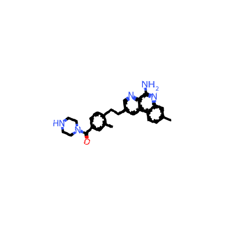 Cc1ccc2c(c1)nc(N)c1ncc(CCc3ccc(C(=O)N4CCNCC4)cc3C)cc12